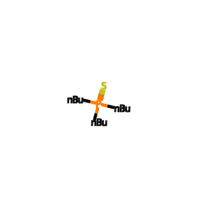 CCCCP(=S)(CCCC)CCCC